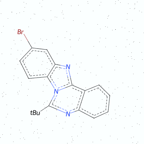 CC(C)(C)c1nc2ccccc2c2nc3cc(Br)ccc3n12